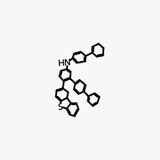 C1=CC(c2ccc(Nc3ccc(C4=CC=C5Sc6ccccc6C5C4)c(-c4ccc(-c5ccccc5)cc4)c3)cc2)=CCC1